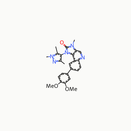 COc1ccc(-c2ccc3ncc4c(c3c2)n(-c2c(C)nn(C)c2C)c(=O)n4C)cc1OC